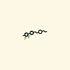 CCCC1CCC(CCc2ccc(-c3ccc(C)c(F)c3F)cc2)CC1